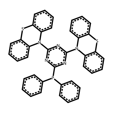 c1ccc(P(c2ccccc2)c2nc(N3c4ccccc4Sc4ccccc43)nc(N3c4ccccc4Sc4ccccc43)n2)cc1